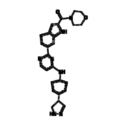 O=C(c1cc2ccc(-c3nccc(Nc4ccc(C5C=NNC5)cc4)n3)cc2[nH]1)N1CCOCC1